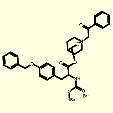 CC(C)(C)OC(=O)NC(Cc1ccc(OCc2ccccc2)cc1)C(=O)OC1C[N+]2(CC(=O)c3ccccc3)CCC1CC2.[Br-]